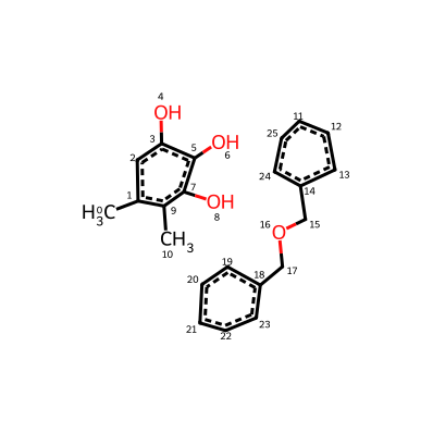 Cc1cc(O)c(O)c(O)c1C.c1ccc(COCc2ccccc2)cc1